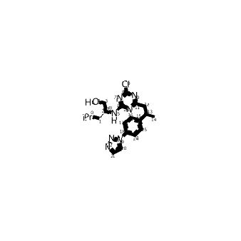 CC(C)C[C@H](CO)Nc1nc(Cl)nc(CC(C)c2ccc(-n3ccnn3)cc2)n1